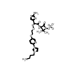 CC1(C)C(NC(=O)C(=NOCCOc2ccc(-n3cc[n+](CCCN)c3)nc2)c2csc(N)n2)C(=O)N1OS(=O)(=O)[O-]